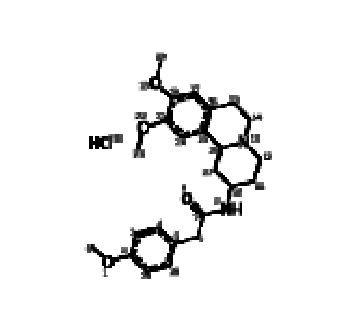 COc1ccc(CC(=O)NC2CCN3CCc4cc(OC)c(OC)cc4C3C2)cc1.Cl